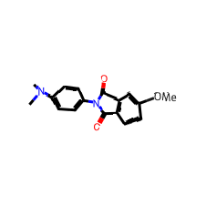 COc1ccc2c(c1)C(=O)N(c1ccc(N(C)C)cc1)C2=O